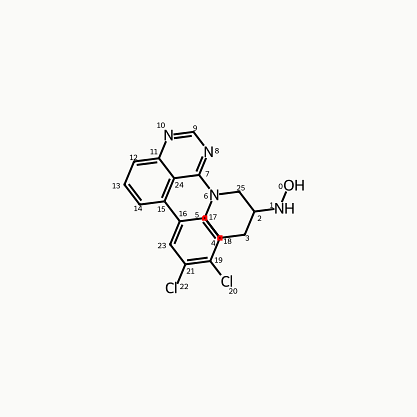 ONC1CCCN(c2ncnc3cccc(-c4ccc(Cl)c(Cl)c4)c23)C1